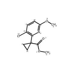 COC(=O)C1(c2nc(OC)ccc2Cl)CC1